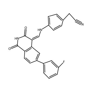 N#CCc1ccc(N/C=C2\C(=O)NC(=O)c3ccc(-c4cccc(F)c4)cc32)cc1